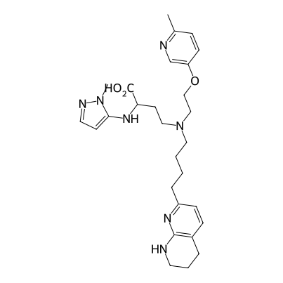 Cc1ccc(OCCN(CCCCc2ccc3c(n2)NCCC3)CCC(Nc2ccnn2C)C(=O)O)cn1